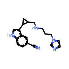 N#Cc1ccc2[nH]cc(C3CC3CNCCCn3ccnc3)c2c1